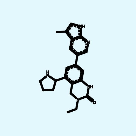 CCN1Cc2c(cc(-c3cnc4[nH]cc(C)c4c3)cc2C2CCCN2)NC1=O